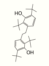 CC(C)(C)c1ccc(CCc2ccc(C(C)(C)C)c(O)c2C(C)(C)C)c(C(C)(C)C)c1O